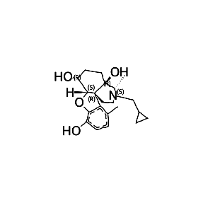 Cc1ccc(O)c2c1[C@@]13CCN(CC4CC4)[C@@H](C)[C@@]1(O)CC[C@@H](O)[C@H]3O2